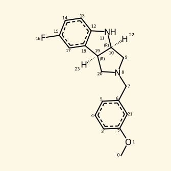 COc1cccc(CN2C[C@@H]3Nc4ccc(F)cc4[C@@H]3C2)c1